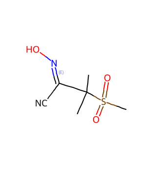 CC(C)(/C(C#N)=N/O)S(C)(=O)=O